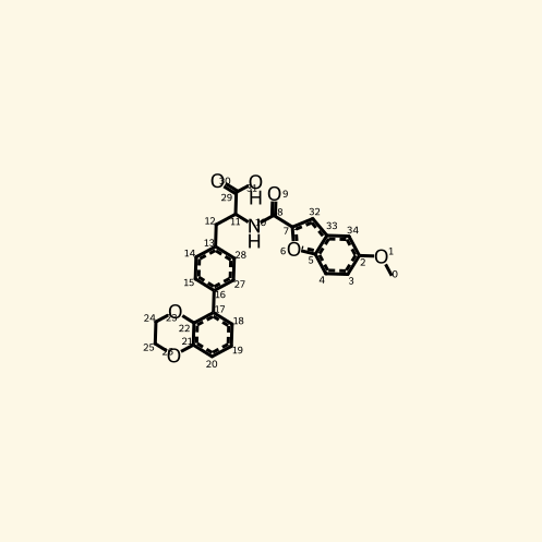 COc1ccc2oc(C(=O)NC(Cc3ccc(-c4cccc5c4OCCO5)cc3)C(=O)O)cc2c1